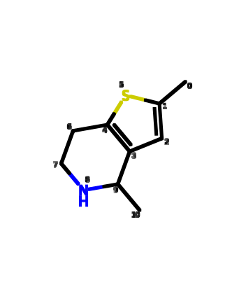 Cc1cc2c(s1)CCNC2C